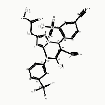 COC(=O)Nc1nc2n(n1)C(c1ccc(C#N)cc1S(C)(=O)=O)C(C#N)=C(C)N2c1cccc(C(F)(F)F)c1